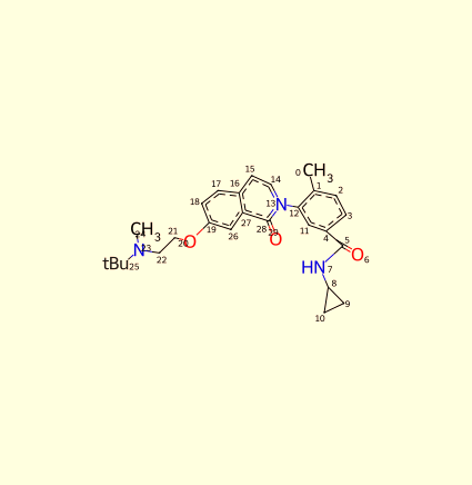 Cc1ccc(C(=O)NC2CC2)cc1-n1ccc2ccc(OCCN(C)C(C)(C)C)cc2c1=O